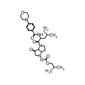 CC(C)COC(=O)ON1CC(=O)C2C1CCN2C(=O)C(CC(C)C)NC(=O)c1ccc(N2CCOCC2)cc1